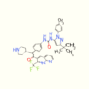 Cc1ccc(-n2nc(C(C)(C)C)cc2NC(=O)Nc2ccc(C(C(=O)c3cc4cccnc4nc3C(F)(F)F)C3CCNCC3)cc2)cc1